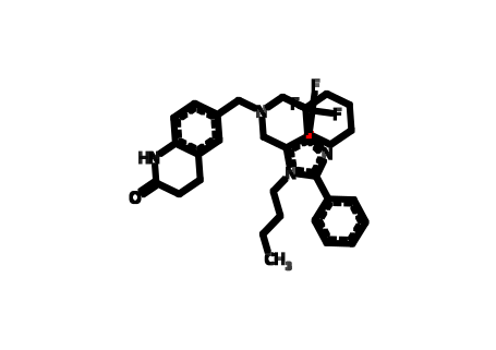 CCCCn1c(-c2ccccc2)nc(C(F)(F)F)c1CN(Cc1ccc2c(c1)CCC(=O)N2)CC1CCCCC1